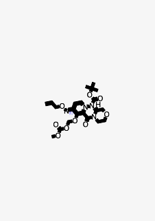 C=CCO/N=c1\ccn2c(c1OCOC(=O)OC)C(=O)N1CCOC[C@H]1N2C(=O)OC(C)(C)C